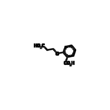 O=C(O)CCOc1ccccc1C(=O)O